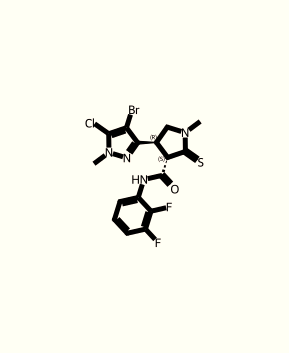 CN1C[C@H](c2nn(C)c(Cl)c2Br)[C@@H](C(=O)Nc2cccc(F)c2F)C1=S